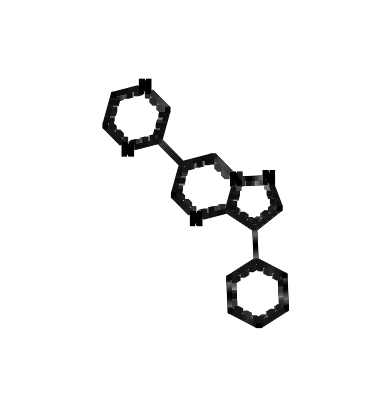 c1ccc(-c2cnn3cc(-c4cnccn4)cnc23)cc1